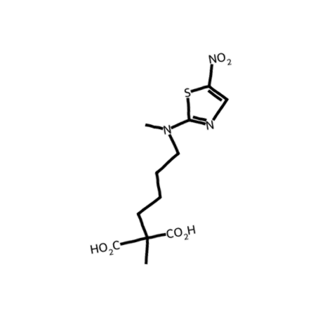 CN(CCCCC(C)(C(=O)O)C(=O)O)c1ncc([N+](=O)[O-])s1